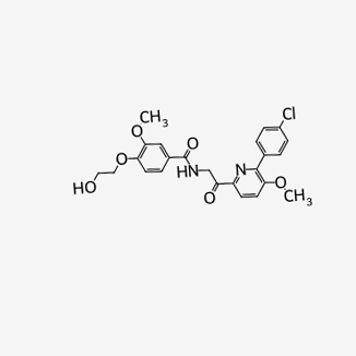 COc1cc(C(=O)NCC(=O)c2ccc(OC)c(-c3ccc(Cl)cc3)n2)ccc1OCCO